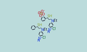 CCN(CCC(S)c1ccccc1)c1ccc([N+]#N)c(Cl)c1.CCN(CCC(S)c1ccccc1)c1ccc([N+]#N)c(Cl)c1.O=S(=O)([O-])[O-]